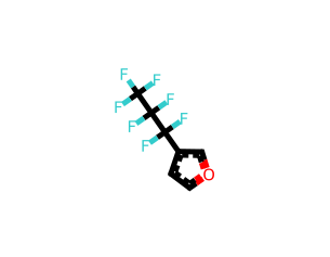 FC(F)(F)C(F)(F)C(F)(F)c1ccoc1